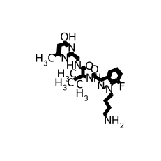 Cc1cc(O)nc(CNC(=O)C(NC(=O)c2nn(CCCCN)c3c(F)cccc23)C(C)(C)C)n1